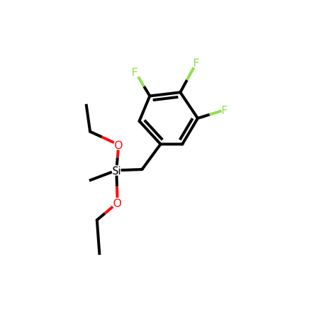 CCO[Si](C)(Cc1cc(F)c(F)c(F)c1)OCC